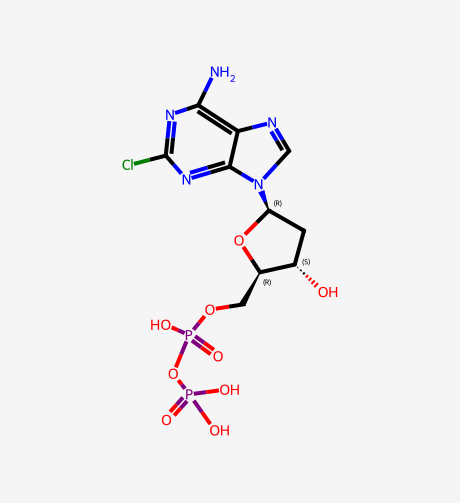 Nc1nc(Cl)nc2c1ncn2[C@H]1C[C@H](O)[C@@H](COP(=O)(O)OP(=O)(O)O)O1